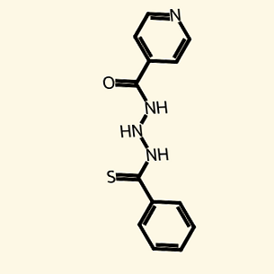 O=C(NNNC(=S)c1ccccc1)c1ccncc1